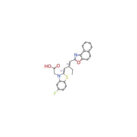 CCC(/C=C1\Sc2ccc(F)cc2N1CC(=O)O)=C\c1nc2c(ccc3ccccc32)o1